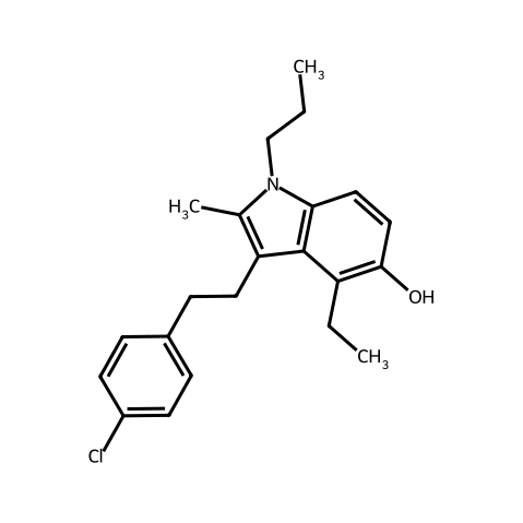 CCCn1c(C)c(CCc2ccc(Cl)cc2)c2c(CC)c(O)ccc21